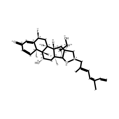 C=C/C(C)=C\C=C(/C)CN1C[C@@H]2C[C@H]3[C@@H]4C[C@H](F)C5=CC(=O)C=C[C@]5(C)[C@@]4(F)[C@@H](O)C[C@]3(C)[C@]2(C(=O)CO)O1